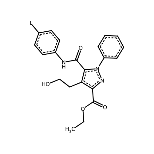 CCOC(=O)c1nn(-c2ccccc2)c(C(=O)Nc2ccc(I)cc2)c1CCO